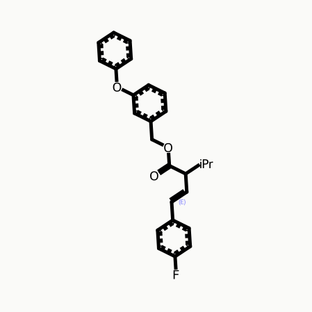 CC(C)C(/C=C/c1ccc(F)cc1)C(=O)OCc1cccc(Oc2ccccc2)c1